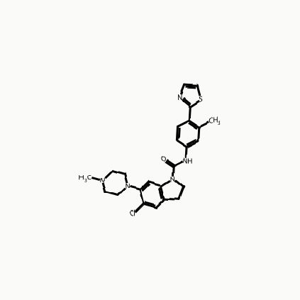 Cc1cc(NC(=O)N2CCc3cc(Cl)c(N4CCN(C)CC4)cc32)ccc1-c1nccs1